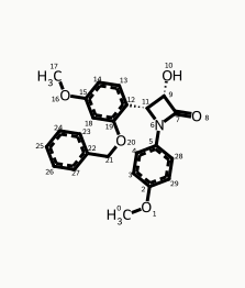 COc1ccc(N2C(=O)[C@@H](O)[C@H]2c2ccc(OC)cc2OCc2ccccc2)cc1